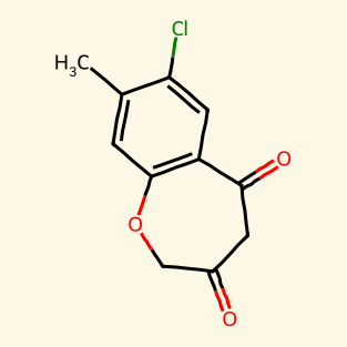 Cc1cc2c(cc1Cl)C(=O)CC(=O)CO2